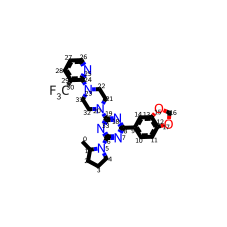 CC1CCCN1c1nc(-c2ccc3c(c2)OCO3)nc(N2CCN(c3ncccc3C(F)(F)F)CC2)n1